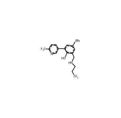 CC(C)(C)c1cc(CNCCC(F)(F)F)c(O)c(-c2ccc(C(F)(F)F)nc2)c1